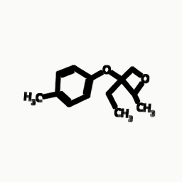 CCC1(Oc2ccc(C)cc2)COC1C